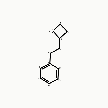 c1ccc(CCC2CCS2)cc1